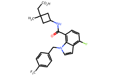 CC1(CC(=O)O)CC(NC(=O)c2ccc(F)c3ccn(Cc4ccc(C(F)(F)F)cc4)c23)C1